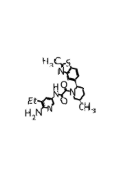 CCc1cc(NC(=O)C(=O)N2C[C@@H](C)CC[C@@H]2c2ccc3sc(C)nc3c2)cnc1N